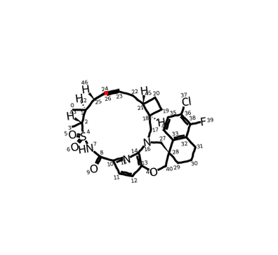 C[C@@H]1[C@@H](C)S(=O)(=O)NC(=O)c2ccc3c(n2)N(C[C@@H]2CC[C@H]2CC2=C[C@H]1C2)C[C@@]1(CCCc2c1ccc(Cl)c2F)CO3